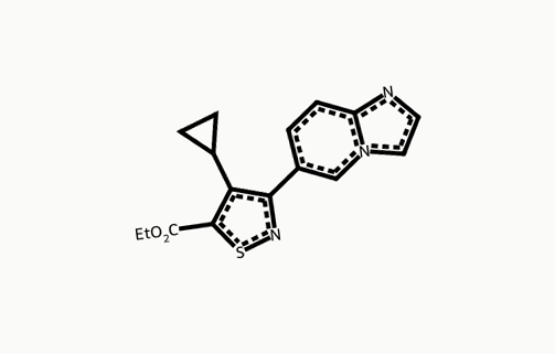 CCOC(=O)c1snc(-c2ccc3nccn3c2)c1C1CC1